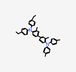 CCc1ccc(N(c2ccc(CC)cc2)c2ccc(-c3ccc(N(c4ccc(C)cc4)c4ccc(C)cc4)c(C)c3)cc2C)cc1